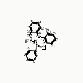 CC(C)N(P(Cl)c1ccccc1)P(c1ccccc1F)c1ccccc1F